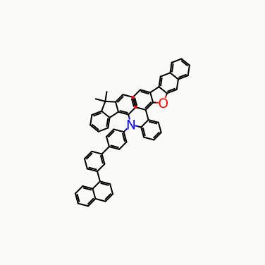 CC1(C)c2ccccc2-c2c(N(c3ccc(-c4cccc(-c5cccc6ccccc56)c4)cc3)c3ccccc3-c3cccc4c3oc3cc5ccccc5cc34)cccc21